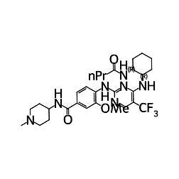 CCCC(=O)N[C@@H]1CCCC[C@H]1Nc1nc(Nc2ccc(C(=O)NC3CCN(C)CC3)cc2OC)ncc1C(F)(F)F